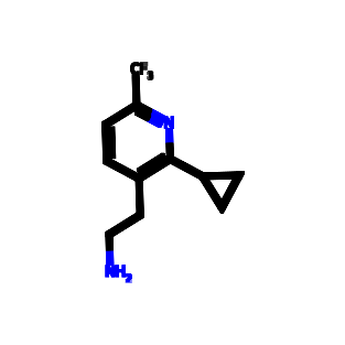 NCCc1ccc(C(F)(F)F)nc1C1CC1